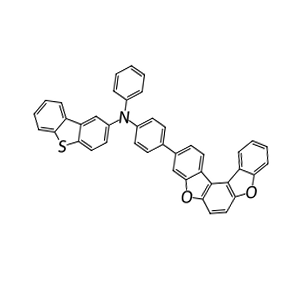 c1ccc(N(c2ccc(-c3ccc4c(c3)oc3ccc5oc6ccccc6c5c34)cc2)c2ccc3sc4ccccc4c3c2)cc1